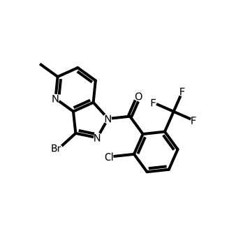 Cc1ccc2c(n1)c(Br)nn2C(=O)c1c(Cl)cccc1C(F)(F)F